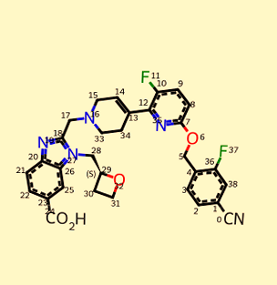 N#Cc1ccc(COc2ccc(F)c(C3=CCN(Cc4nc5ccc(C(=O)O)cc5n4C[C@@H]4CCO4)CC3)n2)c(F)c1